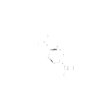 CCNC1=NCN(NCC)C=C1